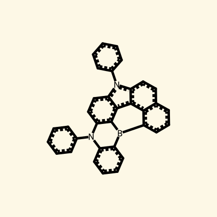 c1ccc(N2c3ccccc3B3c4cccc5ccc6c(c45)c4c3c2ccc4n6-c2ccccc2)cc1